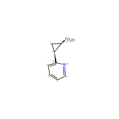 CCOC(=O)[C@@H]1C[C@@H]1c1ccccn1